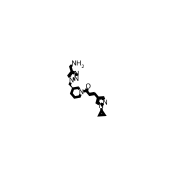 NCc1cn(C[C@@H]2CCCN(C(=O)/C=C/c3cnn(C4CC4)c3)C2)nn1